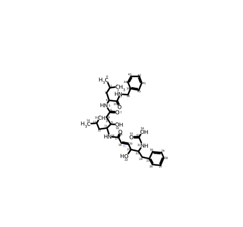 CC(C)CC(NC(=O)CC(O)C(CC(C)C)NC(=O)/C=C/C(O)C(Cc1ccccc1)NC(=O)O)C(=O)NCc1ccccc1